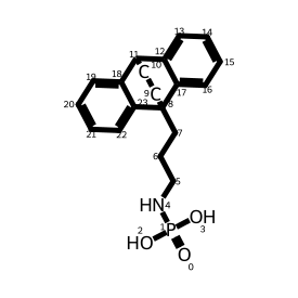 O=P(O)(O)NCCCC12CCC(c3ccccc31)c1ccccc12